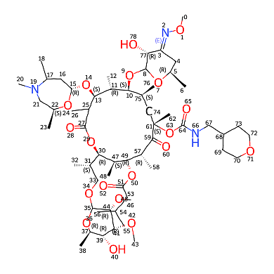 CO/N=C1\C[C@@H](C)OC(O[C@@H]2[C@@H](C)[C@H](O[C@H]3CC(C)N(C)C[C@H](C)O3)C(C)C(=O)O[C@H]([C@@H](C)COC3O[C@H](C)[C@@H](O)[C@@H](OC)[C@H]3OC)[C@H](C)[C@@H](OC(=O)CC(C)C)[C@@H](C)C(=O)[C@@](C)(OC(=O)NCC3CCOCC3)C[C@@H]2C)[C@@H]1O